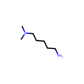 CN(C)CCCCCN